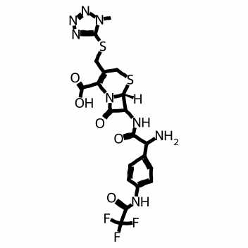 Cn1nnnc1SCC1=C(C(=O)O)N2C(=O)C(NC(=O)C(N)c3ccc(NC(=O)C(F)(F)F)cc3)[C@H]2SC1